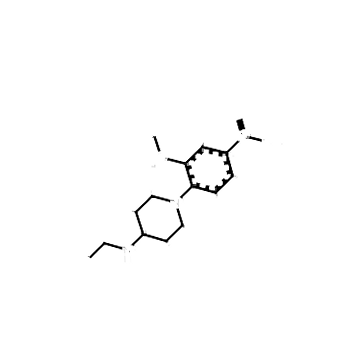 CCNC1CCN(c2ccc([N+](=O)[O-])cc2OC)CC1